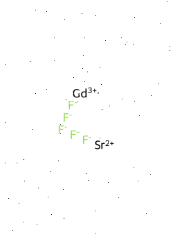 [F-].[F-].[F-].[F-].[F-].[Gd+3].[Sr+2]